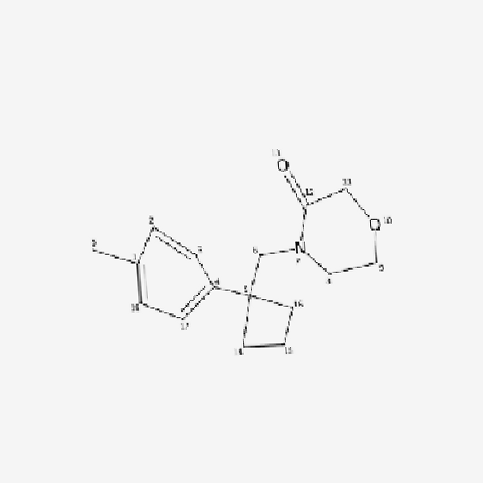 Cc1ccc(C2(CN3CCOCC3=O)CCC2)cc1